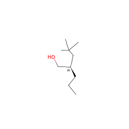 CCC[C@@H](CO)CC(C)(C)C